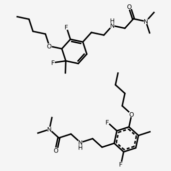 CCCCOC1C(F)=C(CCNCC(=O)N(C)C)C=CC1(C)F.CCCCOc1c(C)cc(F)c(CCNCC(=O)N(C)C)c1F